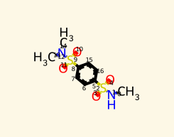 CNS(=O)(=O)c1ccc(S(=O)(=O)N(C)C)cc1